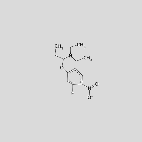 CCC(Oc1ccc([N+](=O)[O-])c(F)c1)N(CC)CC